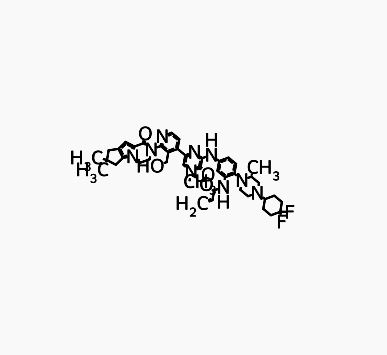 C=CC(=O)Nc1cc(Nc2nc(-c3ccnc(N4CCn5c(cc6c5CC(C)(C)C6)C4=O)c3CO)cn(C)c2=O)ccc1N1CCN(C2CCC(F)(F)CC2)C[C@@H]1C